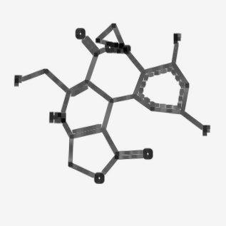 COC(=O)C1=C(CF)NC2=C(C(=O)OC2)C1c1cc(F)cc(F)c1C1CC1